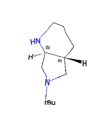 CC(C)(C)N1C[C@H]2CCCN[C@@H]2C1